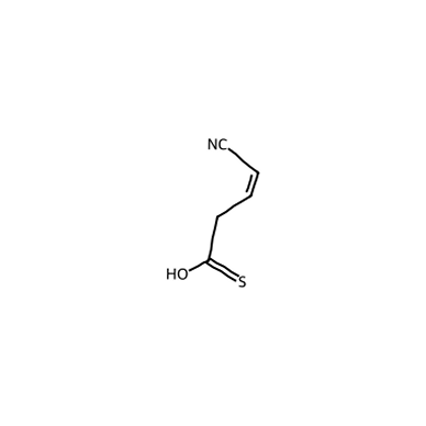 N#C/C=C\CC(O)=S